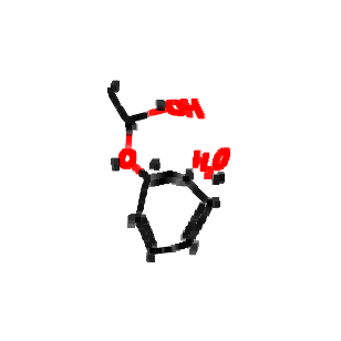 CC(O)Oc1ccccc1.O